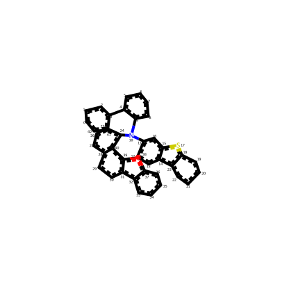 c1ccc(-c2ccccc2N(c2ccc3c(c2)sc2ccccc23)c2cccc3ccc4c5ccccc5oc4c23)cc1